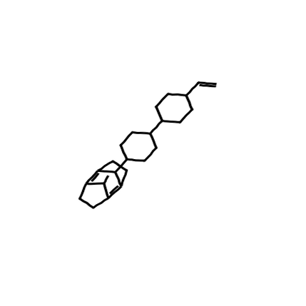 C=CC1CCC(C2CCC(C3C4=C5CCC(=C3CC4)C5C)CC2)CC1